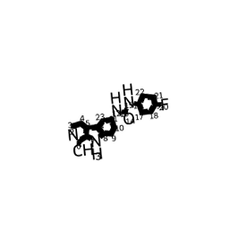 Cc1nccc2c1[nH]c1ccc(NC(=O)Nc3ccc(F)cc3)cc12